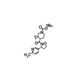 Cc1ccc([C@@H]2CCON2C(=O)C2CCN(C(=O)OC(C)(C)C)CC23CC3)cn1